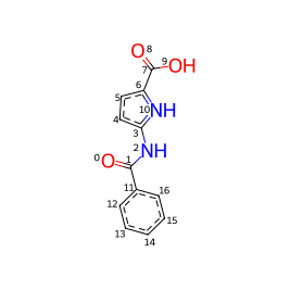 O=C(Nc1ccc(C(=O)O)[nH]1)c1ccccc1